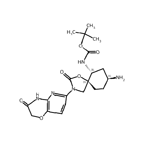 CC(C)(C)OC(=O)N[C@@H]1C[C@@H](N)CC[C@]12CN(c1ccc3c(n1)NC(=O)CO3)C(=O)O2